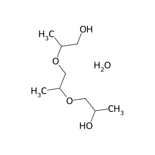 CC(O)COC(C)COC(C)CO.O